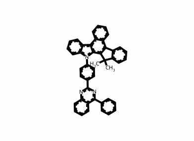 CC1(C)c2ccccc2-c2c1c1c(c3ccccc23)c2ccccc2n1-c1ccc(-c2nc(-c3ccccc3)c3ccccc3n2)cc1